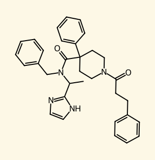 CC(c1ncc[nH]1)N(Cc1ccccc1)C(=O)C1(c2ccccc2)CCN(C(=O)CCc2ccccc2)CC1